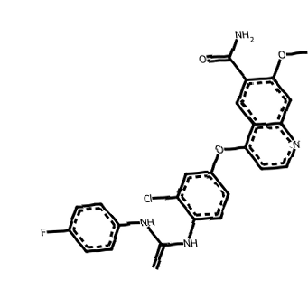 C=C(Nc1ccc(F)cc1)Nc1ccc(Oc2ccnc3cc(OC)c(C(N)=O)cc23)cc1Cl